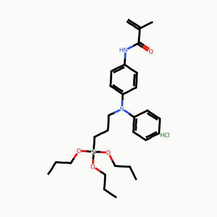 C=C(C)C(=O)Nc1ccc(N(CCC[Si](OCCC)(OCCC)OCCC)c2ccccc2)cc1.Cl